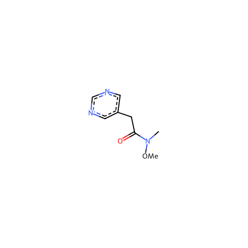 CON(C)C(=O)Cc1cncnc1